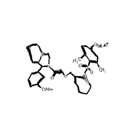 COc1cccc(C2c3cccn3CCN2C(=O)COCC2CCCCN2S(=O)(=O)c2c(C)cc(OC)cc2C)c1